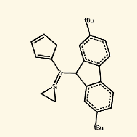 CC(C)(C)c1ccc2c(c1)[CH]([Zr]([C]1=CC=CC1)=[Si]1CC1)c1cc(C(C)(C)C)ccc1-2